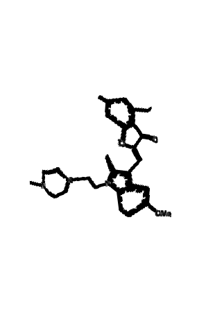 COc1ccc2c(c1)c(/C=C1\Oc3cc(C)cc(C)c3C1=O)c(C)n2CCN1CCN(C)CC1